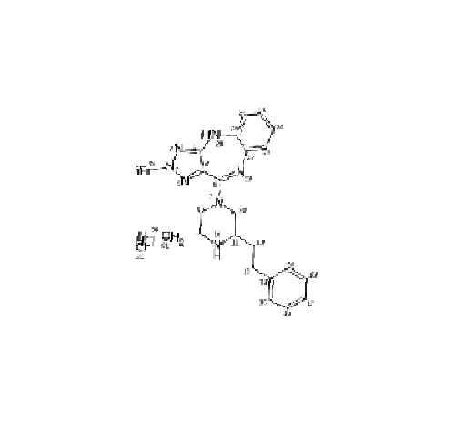 CC(C)n1nc2c(n1)C(N1CCNC(CCc3ccccc3)C1)=Nc1ccccc1N2.Cl.Cl.O